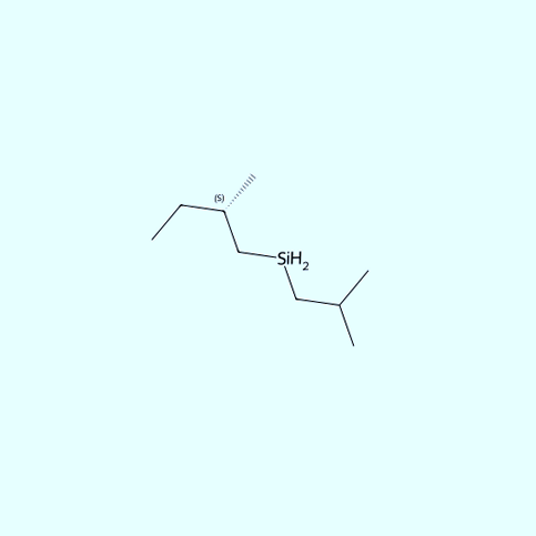 CC[C@H](C)C[SiH2]CC(C)C